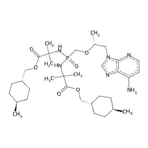 C[C@H](Cn1cnc2c(N)ccnc21)OCP(=O)(NC(C)(C)C(=O)OC[C@H]1CC[C@H](C)CC1)NC(C)(C)C(=O)OC[C@H]1CC[C@H](C)CC1